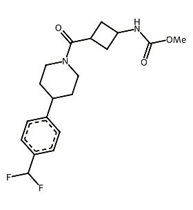 COC(=O)NC1CC(C(=O)N2CCC(c3ccc(C(F)F)cc3)CC2)C1